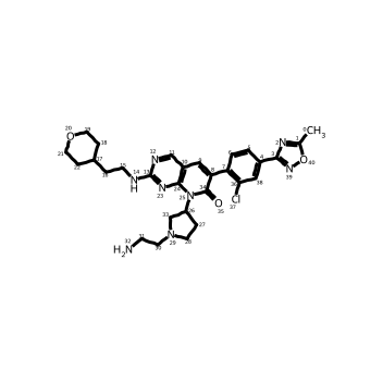 Cc1nc(-c2ccc(-c3cc4cnc(NCCC5CCOCC5)nc4n(C4CCN(CCN)C4)c3=O)c(Cl)c2)no1